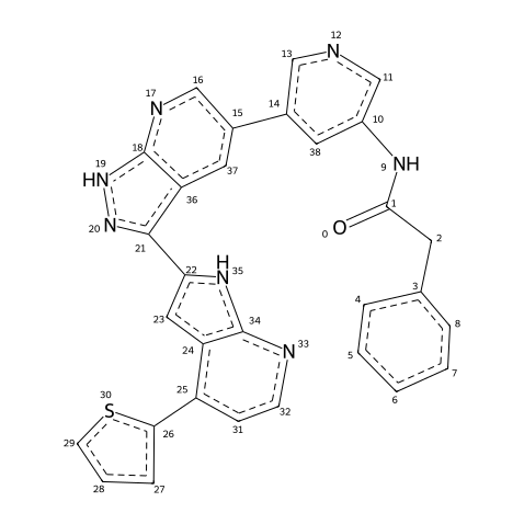 O=C(Cc1ccccc1)Nc1cncc(-c2cnc3[nH]nc(-c4cc5c(-c6cccs6)ccnc5[nH]4)c3c2)c1